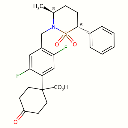 C[C@H]1CC[C@H](c2ccccc2)S(=O)(=O)N1Cc1cc(F)c(C2(C(=O)O)CCC(=O)CC2)cc1F